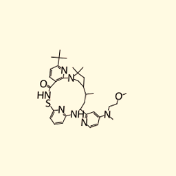 COCCN(C)c1ccnc(C2CC(C)C3CN(c4nc(C(C)(C)C)ccc4C(=O)NSc4cccc(n4)N2)C(C)(C)C3)c1